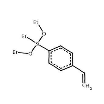 C=Cc1ccc([Si](CC)(OCC)OCC)cc1